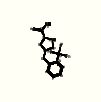 O=C(O)[C@@H]1CC(Cc2ccccc2C(F)(F)F)CN1